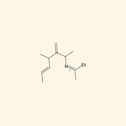 C=C(C(C)C=CC)C(C)/N=C(/C)CC